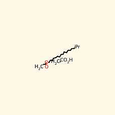 C=CC(=O)O.C=CC(=O)OCCCCCCCCCCCCCCCC(C)C